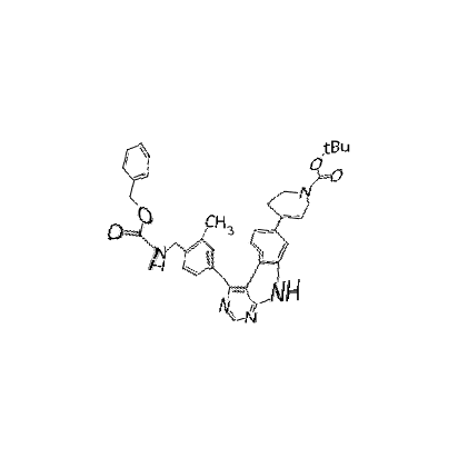 Cc1cc(-c2ncnc3[nH]c4cc(C5=CCN(C(=O)OC(C)(C)C)CC5)ccc4c23)ccc1CNC(=O)OCc1ccccc1